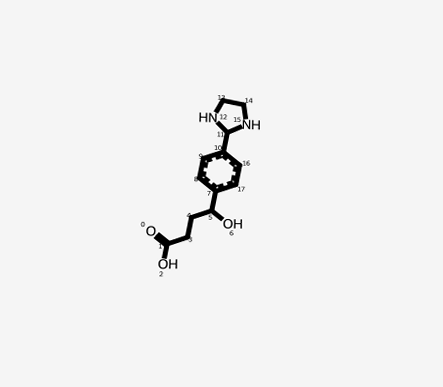 O=C(O)CCC(O)c1ccc(C2NCCN2)cc1